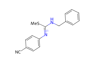 CS/C(=N\c1ccc(C#N)cc1)NCc1ccccc1